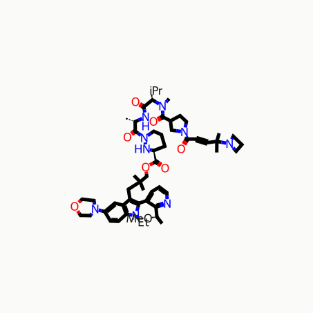 CCn1c(-c2cccnc2[C@H](C)OC)c(CC(C)(C)COC(=O)[C@@H]2CCCN(C(=O)[C@H](C)NC(=O)[C@H](C(C)C)N(C)C(=O)C3CCN(C(=O)C#CC(C)(C)N4CCC4)C3)N2)c2cc(N3CCOCC3)ccc21